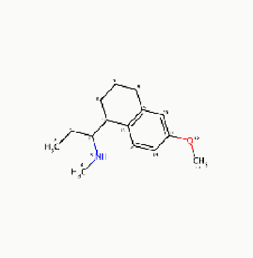 CCC(NC)C1CCCc2cc(OC)ccc21